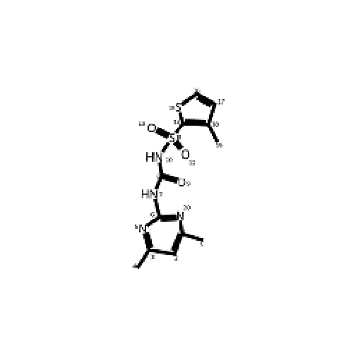 Cc1cc(C)nc(NC(=O)NS(=O)(=O)c2sccc2C)n1